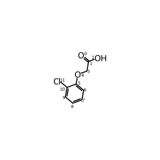 O=C(O)COc1c[c]ccc1Cl